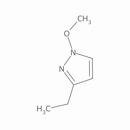 CCc1ccn(OC)n1